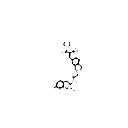 CCN(CC)C(=O)/C(C#N)=C/c1ccc2c(c1)CN(CC(=O)NC(Cc1ccc(C)cc1)B(O)O)CC2